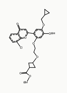 COc1cc(OCCOC2CC(C(=O)OC(C)(C)C)C2)c(-c2cc(=O)c3cccc(Cl)c3o2)cc1OCC1CC1